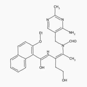 CCOc1ccc2ccccc2c1/C(O)=[SH]/C(CCO)=C(/C)N(C=O)Cc1cnc(C)nc1N